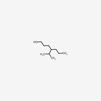 CCCC(CCCO)C(C)C